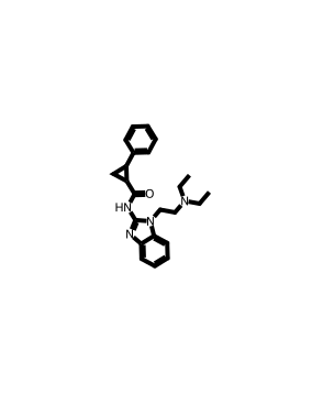 CCN(CC)CCn1c(NC(=O)C2CC2c2ccccc2)nc2ccccc21